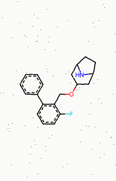 Fc1cccc(-c2ccccc2)c1COC1CC2CCC(C1)N2